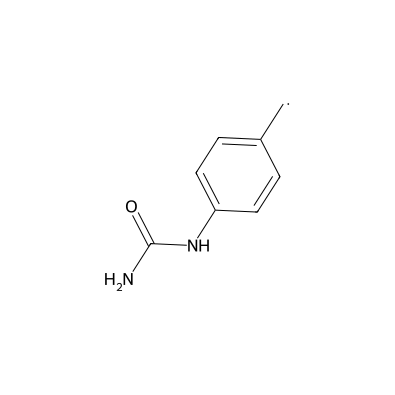 [CH2]c1ccc(NC(N)=O)cc1